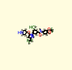 CN(C(=O)c1cccc(-n2nc(C(F)(F)F)cc2OC2CCNCC2)c1)c1ccc2c(c1)OC(F)(F)O2.Cl